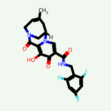 CC1=CCN2C[C@H](C1)n1cc(C(=O)NCc3c(F)cc(F)cc3F)c(=O)c(O)c1C2=O